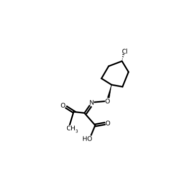 CC(=O)C(=NO[C@H]1CC[C@H](Cl)CC1)C(=O)O